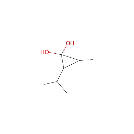 CC(C)C1C(C)C1(O)O